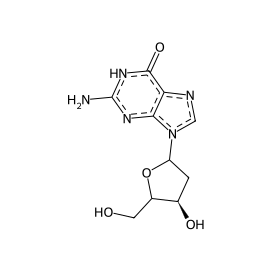 Nc1nc2c(ncn2C2C[C@@H](O)C(CO)O2)c(=O)[nH]1